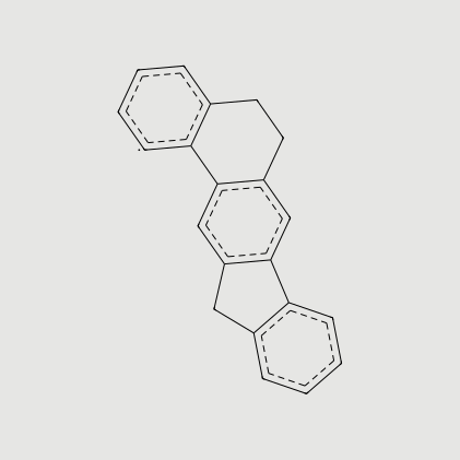 [c]1cccc2c1-c1cc3c(cc1CC2)-c1ccccc1C3